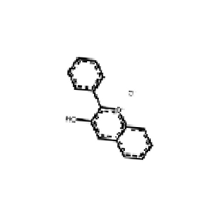 Oc1cc2ccccc2[o+]c1-c1ccccc1.[Cl-]